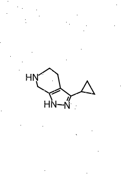 C1Cc2c(C3CC3)n[nH]c2CN1